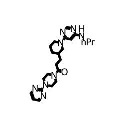 CCCNc1cc(N2CCCC(CCC(=O)N3CCN(c4ncccn4)CC3)C2)ncn1